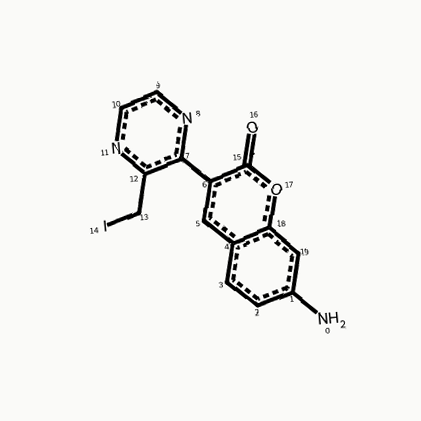 Nc1ccc2cc(-c3nccnc3CI)c(=O)oc2c1